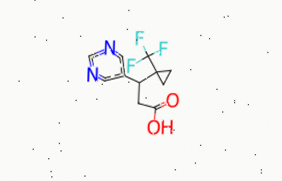 O=C(O)CC(c1cncnc1)C1(C(F)(F)F)CC1